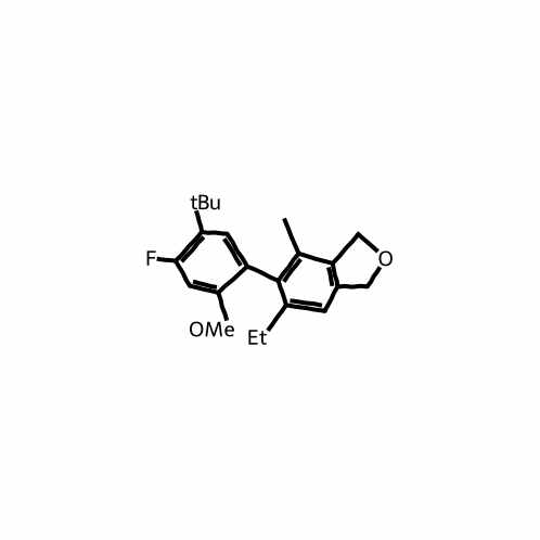 CCc1cc2c(c(C)c1-c1cc(C(C)(C)C)c(F)cc1OC)COC2